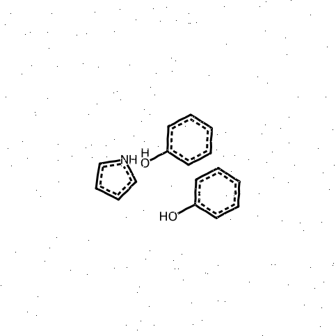 Oc1ccccc1.Oc1ccccc1.c1cc[nH]c1